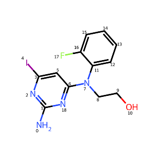 Nc1nc(I)cc(N(CCO)c2ccccc2F)n1